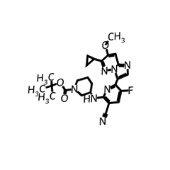 COc1cc2ncc(-c3nc(N[C@@H]4CCCN(C(=O)OC(C)(C)C)C4)c(C#N)cc3F)n2nc1C1CC1